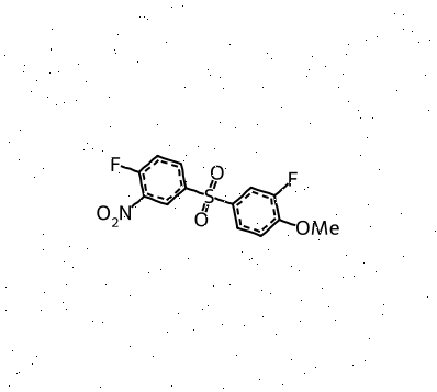 COc1ccc(S(=O)(=O)c2ccc(F)c([N+](=O)[O-])c2)cc1F